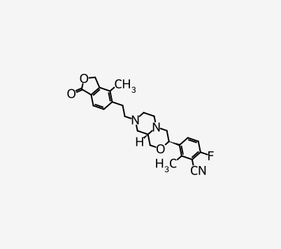 Cc1c([C@@H]2CN3CCN(CCc4ccc5c(c4C)COC5=O)C[C@H]3CO2)ccc(F)c1C#N